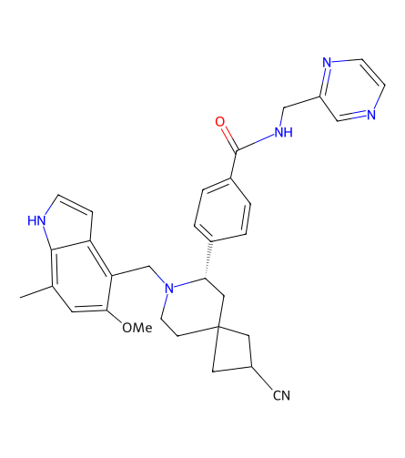 COc1cc(C)c2[nH]ccc2c1CN1CCC2(CC(C#N)C2)C[C@H]1c1ccc(C(=O)NCc2cnccn2)cc1